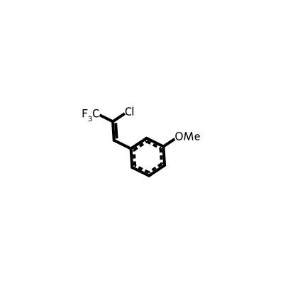 COc1cccc(C=C(Cl)C(F)(F)F)c1